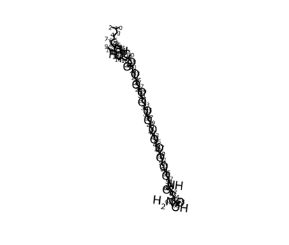 CC(C)CCC[C@@H](C)[C@H]1CC[C@H]2[C@@H]3CC=C4CC(OC(=O)CCOCCOCCOCCOCCOCCOCCOCCOCCOCCOCCOCCOCCNC(=O)CSC[C@H](N)C(=O)O)CC[C@]4(C)[C@H]3CC[C@]12C